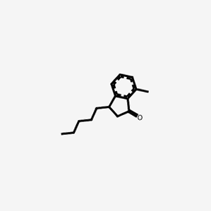 CCCCCC1CC(=O)c2c(C)cccc21